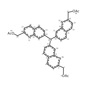 CC(=O)OCc1ccc2ccc(N(c3ccc4ccc(COC(C)=O)nc4c3)c3ccc4ccc(COC(C)=O)nc4c3)cc2n1